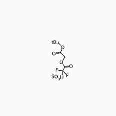 CC(C)(C)OC(=O)COC(=O)C(F)(F)S(=O)(=O)O